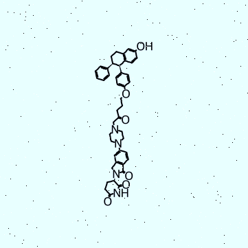 O=C(CCCOc1ccc([C@@H]2c3ccc(O)cc3CC[C@@H]2c2ccccc2)cc1)CN1CCN(c2ccc3c(c2)CN([C@H]2CCC(=O)NC2=O)C3=O)CC1